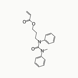 C=CC(=O)OCCCN(C(=O)N(C)c1ccccc1)c1ccccc1